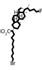 CC(C)CCC[C@@H](C)[C@H]1CC[C@H]2[C@@H]3CC=C4C[C@@H](C(CCCCCCCCCBr)C(=O)O)CC[C@]4(C)[C@H]3CC[C@]12C